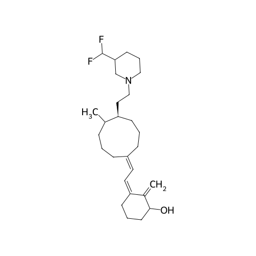 C=C1/C(=C\C=C2/CCCC(C)[C@@H](CCN3CCCC(C(F)F)C3)CCC2)CCCC1O